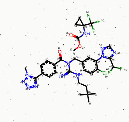 Cn1nnnc1-c1ccc(C(=O)N(C(=N)NCCC(C)(C)C)[C@H](COC(=O)NC2(C(F)(F)F)CC2)c2ccc(Cl)c(-n3ncnc3C(F)F)c2)cc1